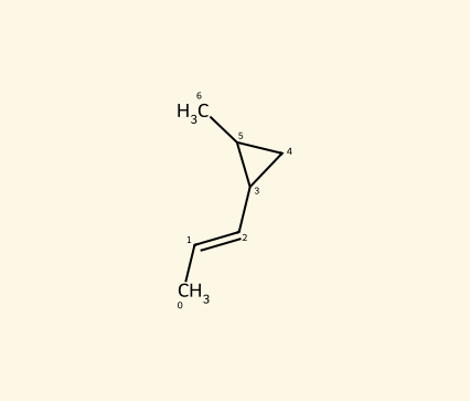 CC=CC1CC1C